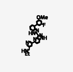 CCNCc1cncc(-c2ccc3[nH]nc(-c4nc5c(-c6cc(F)cc(OC)c6)cccc5[nH]4)c3n2)c1